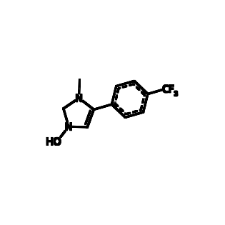 CN1CN(O)C=C1c1ccc(C(F)(F)F)cc1